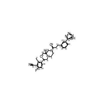 Cc1c([C@@H]2CN3CCN(C(=O)CCc4cccc(-c5nnn[nH]5)c4)C[C@H]3CO2)ccc(F)c1C#N